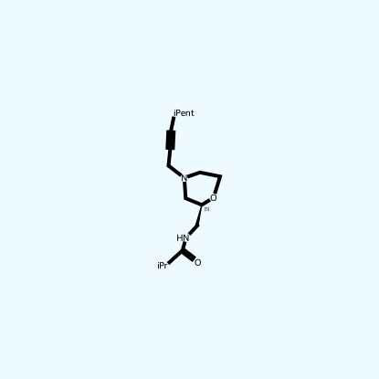 CCCC(C)C#CCN1CCO[C@@H](CNC(=O)C(C)C)C1